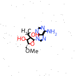 C=C[C@@]1(O)[C@H](O)[C@@H](COC)O[C@H]1n1cnc2c(N)ncnc21